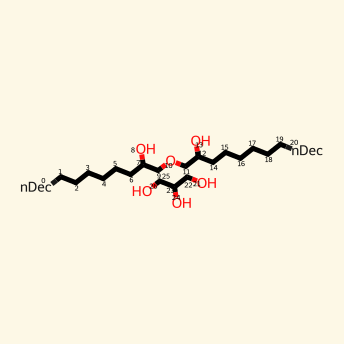 CCCCCCCCCCCCCCCCC(O)COCC(O)CCCCCCCCCCCCCCCC.OCC(O)CO